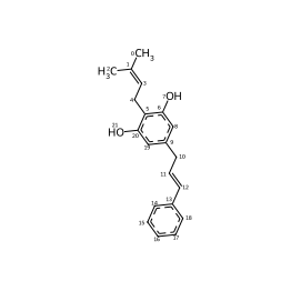 CC(C)=CCc1c(O)cc(CC=Cc2ccccc2)cc1O